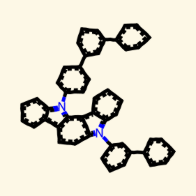 c1ccc(-c2cccc(-c3ccc(-n4c5ccccc5c5ccc6c(c7ccccc7n6-c6cccc(-c7ccccc7)c6)c54)cc3)c2)cc1